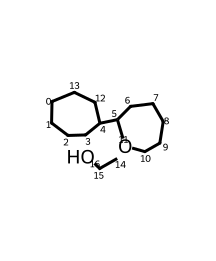 C1CCCC(C2CCCCCO2)CC1.CCO